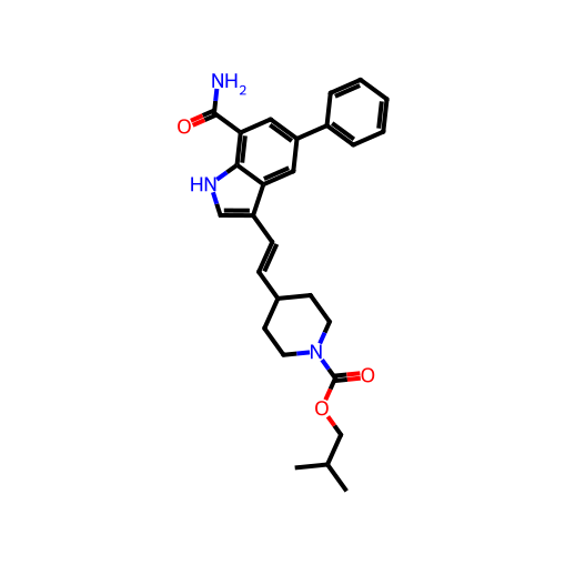 CC(C)COC(=O)N1CCC(C=Cc2c[nH]c3c(C(N)=O)cc(-c4ccccc4)cc23)CC1